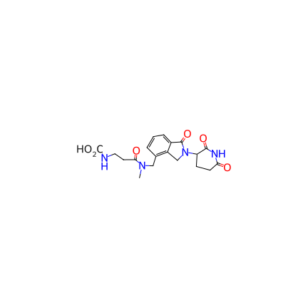 CN(Cc1cccc2c1CN(C1CCC(=O)NC1=O)C2=O)C(=O)CCNC(=O)O